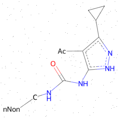 CCCCCCCCCCNC(=O)Nc1[nH]nc(C2CC2)c1C(C)=O